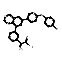 C=C(C(N)=O)c1cccc(-c2cc(-c3ccc(Oc4ccc(Cl)cc4)nc3)cc3cncnc23)c1